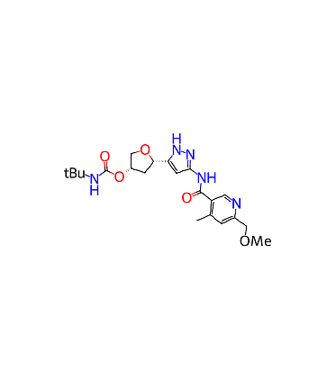 COCc1cc(C)c(C(=O)Nc2cc([C@@H]3C[C@H](OC(=O)NC(C)(C)C)CO3)[nH]n2)cn1